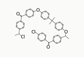 CC(Cl)c1ccc(C(=O)c2ccc(Oc3ccc(C(C)(C)c4ccc(OC(C)c5ccc(C(=O)c6ccc(Cl)cc6)cc5)cc4)cc3)cc2)cc1